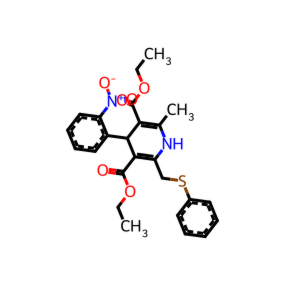 CCOC(=O)C1=C(C)NC(CSc2ccccc2)=C(C(=O)OCC)C1c1ccccc1[N+](=O)[O-]